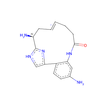 Nc1ccc2c(c1)NC(=O)CC/C=C/C[C@H](N)c1nc-2c[nH]1